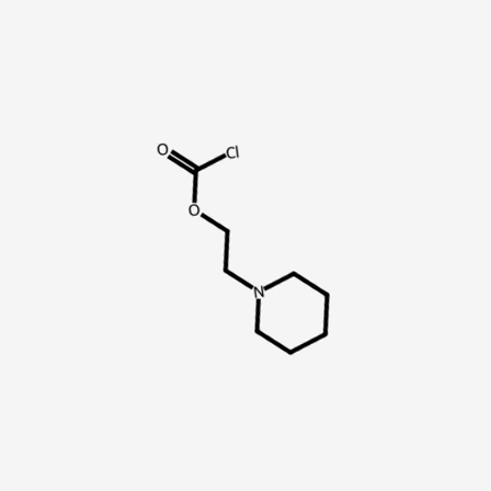 O=C(Cl)OCCN1CCCCC1